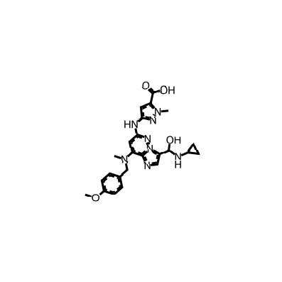 COc1ccc(CN(C)c2cc(Nc3cc(C(=O)O)n(C)n3)nn3c(C(O)NC4CC4)cnc23)cc1